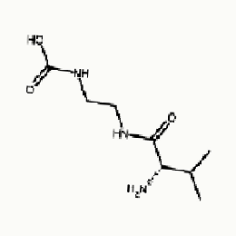 CC(C)[C@H](N)C(=O)NCCNC(=O)O